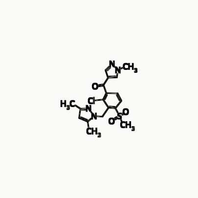 Cc1cc(C)n(Cc2c(S(C)(=O)=O)ccc(C(=O)c3cnn(C)c3)c2Cl)n1